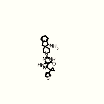 N[C@@H]1c2ccccc2CC12CCN(c1nc3[nH]nc(C4(c5ccsc5)CC4)c3c(=O)[nH]1)CC2